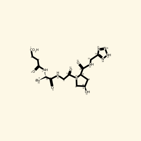 CC[C@H](C)[C@H](NC(=O)CCC(=O)O)C(=O)NCC(=O)N1C[C@H](O)CC1C(=O)NCc1nn[nH]n1